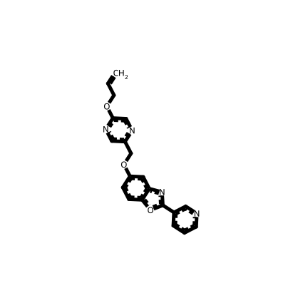 C=CCOc1cnc(COc2ccc3oc(-c4cccnc4)nc3c2)cn1